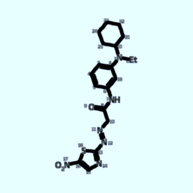 CCN(c1cccc(NC(=O)CN=Nc2ncc([N+](=O)[O-])s2)c1)C1CCCCC1